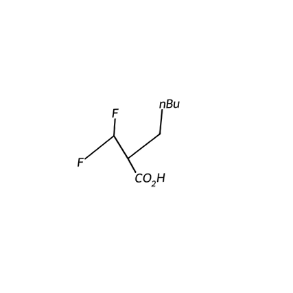 CCCCCC(C(=O)O)C(F)F